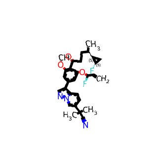 C=CC(F)Oc1cc(-c2cnn3cc(C(C)(C)C#N)ccc23)cc(OC)c1C(=O)CCC(C)[C@@H]1C[C@@H]1F